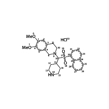 COc1cc2c(cc1OC)CN(C(C1CCNCC1)S(=O)(=O)c1cccc3ccccc13)CC2.Cl